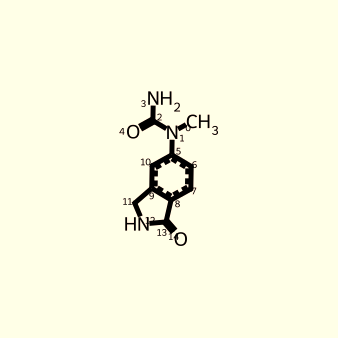 CN(C(N)=O)c1ccc2c(c1)CNC2=O